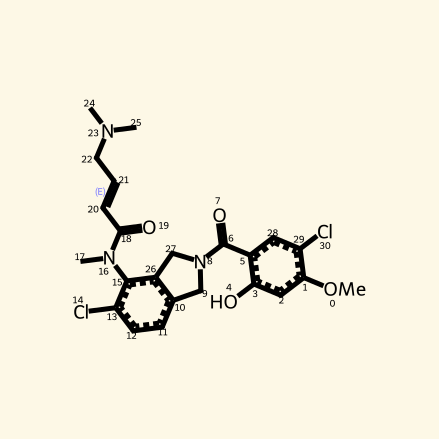 COc1cc(O)c(C(=O)N2Cc3ccc(Cl)c(N(C)C(=O)/C=C/CN(C)C)c3C2)cc1Cl